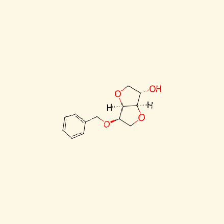 O[C@H]1CO[C@H]2[C@@H]1OC[C@H]2OCc1ccccc1